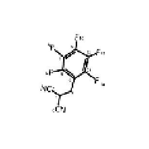 N#CC(C#N)Cc1c(F)c(F)c(F)c(F)c1F